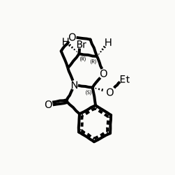 CCO[C@@]12O[C@@H]3COCC([C@H]3Br)N1C(=O)c1ccccc12